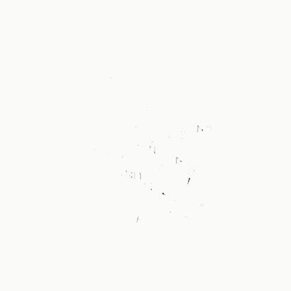 NC(=O)C(c1ccc(Cl)cc1)N1C=C(N)N(O[C@H]2CO[C@H](CI)[C@H]2O)C1